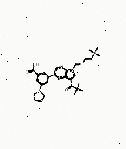 CC(C)(C)C(=O)c1cn(COCC[Si](C)(C)C)c2ncc(-c3cc(C(=O)O)cc(N4CCCC4)c3)nc12